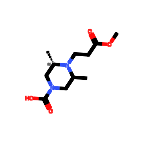 COC(=O)CCN1C(C)CN(C(=O)O)C[C@@H]1C